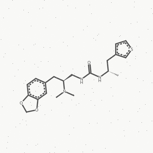 C[C@@H](Cc1ccsc1)NC(=O)NC[C@H](Cc1ccc2c(c1)OCO2)N(C)C